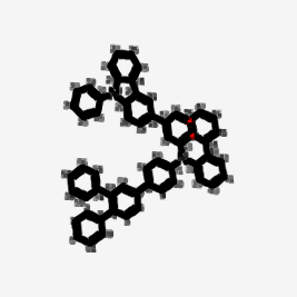 c1ccc(-c2ccc(-c3ccc(N(c4cccc(-c5ccc6c(c5)c5ccccc5n6-c5ccccc5)c4)c4ccccc4-c4ccccc4)cc3)cc2-c2ccccc2)cc1